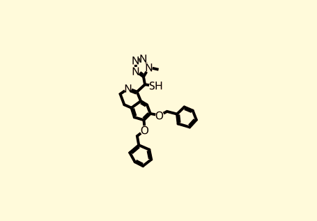 Cn1nnnc1C(S)C1=NCCc2cc(OCc3ccccc3)c(OCc3ccccc3)cc21